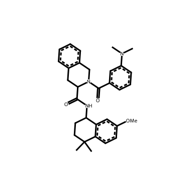 COc1ccc2c(c1)C(NC(=O)C1Cc3ccccc3CN1C(=O)c1cccc(N(C)C)c1)CCC2(C)C